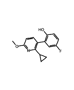 COc1ccc(-c2cc(F)ccc2O)c(C2CC2)n1